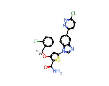 C[C@@H](Oc1cc(-n2cnc3cc(-c4ccc(Cl)nn4)ccc32)sc1C(N)=O)c1ccccc1Cl